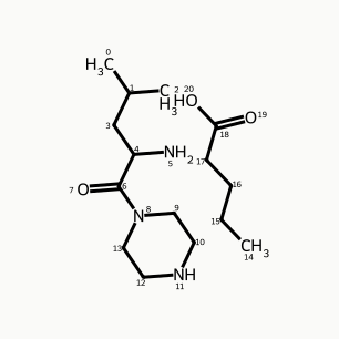 CC(C)CC(N)C(=O)N1CCNCC1.CCCCC(=O)O